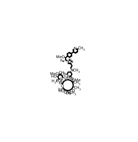 CC[C@H]1OC(=O)[C@H](C)[C@@H](O[C@H]2C[C@@](C)(OC)[C@@H](O)[C@H](C)O2)[C@H](C)[C@@H](O[C@H]2C[C@@H](N(C)CCc3cn([C@H](CF)[C@H](OC)c4ccc(-c5ccc(C)nc5)cc4)nn3)C[C@@H](C)O2)[C@](C)(OC)C[C@@H](C)C(=O)[C@H](C)[C@@H](O)[C@]1(C)O